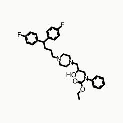 CCOC(=O)N(CC(O)CN1CCN(CCCC(c2ccc(F)cc2)c2ccc(F)cc2)CC1)c1ccccc1